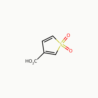 O=C(O)C1=CS(=O)(=O)C=C1